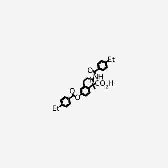 CCc1ccc(C(=O)NN2CCc3cc(OC(=O)c4ccc(CC)cc4)ccc3C2(C)C(=O)O)cc1